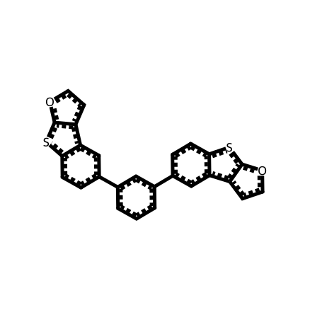 c1cc(-c2ccc3sc4occc4c3c2)cc(-c2ccc3sc4occc4c3c2)c1